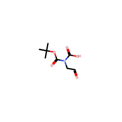 CC(C)(C)OC(=O)N(CC=O)C(=O)O